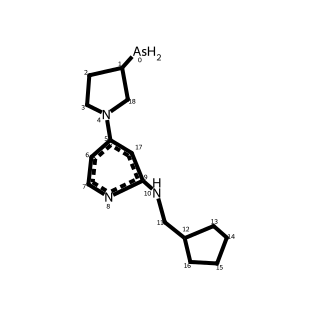 [AsH2]C1CCN(c2ccnc(NCC3CCCC3)c2)C1